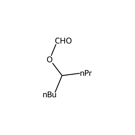 [CH2]CCCC(CC[CH2])OC=O